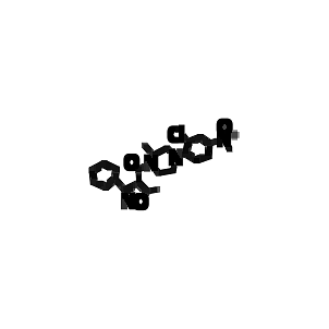 Cc1onc(-c2ccccc2)c1C(=O)N1CCN(c2ccc([N+](C)=O)cc2Cl)CC1C